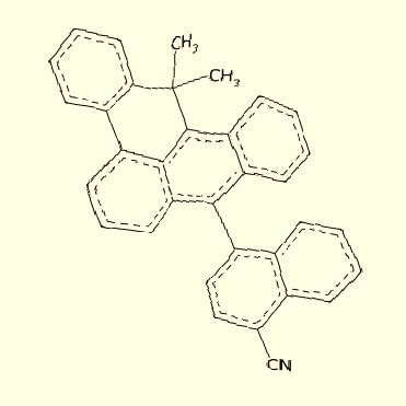 CC1(C)c2ccccc2-c2cccc3c(-c4ccc(C#N)c5ccccc45)c4ccccc4c1c23